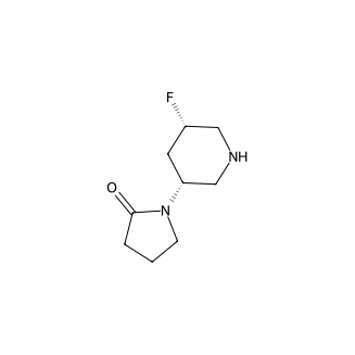 O=C1CCCN1[C@H]1CNC[C@@H](F)C1